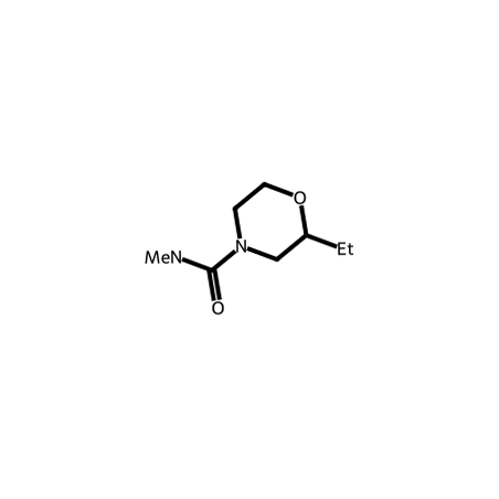 CCC1CN(C(=O)NC)CCO1